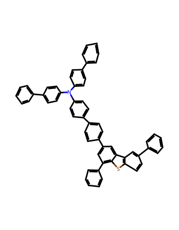 c1ccc(-c2ccc(N(c3ccc(-c4ccccc4)cc3)c3ccc(-c4ccc(-c5cc(-c6ccccc6)c6sc7ccc(-c8ccccc8)cc7c6c5)cc4)cc3)cc2)cc1